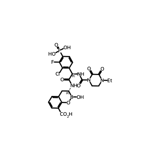 CCN1CCN(C(=O)N[C@@H](C(=O)N[C@H]2Cc3cccc(C(=O)O)c3OB2O)c2ccc(P(=O)(O)O)c(F)c2Cl)C(=O)C1=O